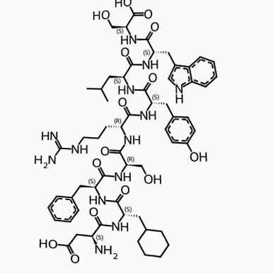 CC(C)C[C@H](NC(=O)[C@H](Cc1ccc(O)cc1)NC(=O)[C@@H](CCCNC(=N)N)NC(=O)[C@@H](CO)NC(=O)[C@H](Cc1ccccc1)NC(=O)[C@H](CC1CCCCC1)NC(=O)[C@@H](N)CC(=O)O)C(=O)N[C@@H](Cc1c[nH]c2ccccc12)C(=O)N[C@@H](CO)C(=O)O